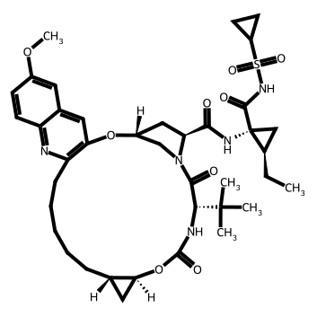 CC[C@@H]1C[C@]1(NC(=O)[C@@H]1C[C@@H]2CN1C(=O)[C@H](C(C)(C)C)NC(=O)O[C@H]1C[C@@H]1CCCCCc1nc3ccc(OC)cc3cc1O2)C(=O)NS(=O)(=O)C1CC1